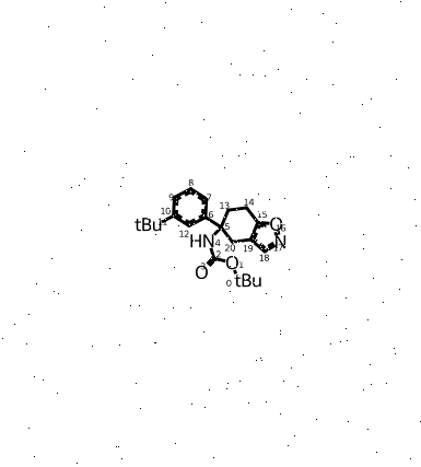 CC(C)(C)OC(=O)NC1(c2cccc(C(C)(C)C)c2)CCc2oncc2C1